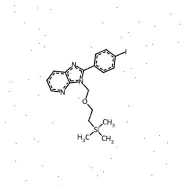 C[Si](C)(C)CCOCn1c(-c2ccc(I)cc2)nc2cccnc21